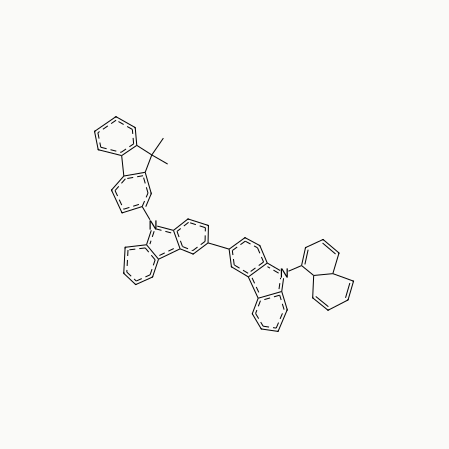 CC1(C)c2ccccc2-c2ccc(-n3c4ccccc4c4cc(-c5ccc6c(c5)c5ccccc5n6C5=CC=CC6C=CC=CC56)ccc43)cc21